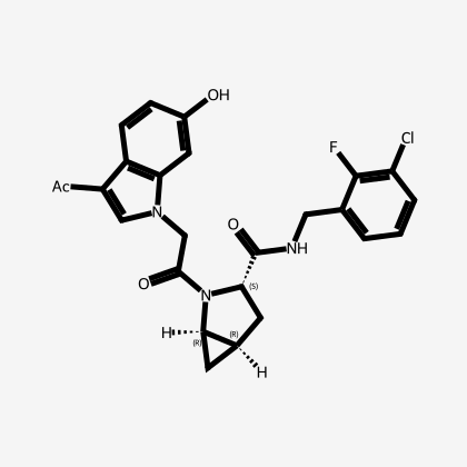 CC(=O)c1cn(CC(=O)N2[C@@H]3C[C@@H]3C[C@H]2C(=O)NCc2cccc(Cl)c2F)c2cc(O)ccc12